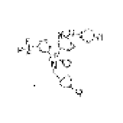 COc1ccc(CN2CC(c3cccc(C(F)(F)F)c3)N(c3ccc(Oc4ccc(Cl)cc4)nc3)C2=O)cc1